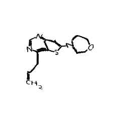 C=CCc1ncnc2cc(N3CCOCC3)sc12